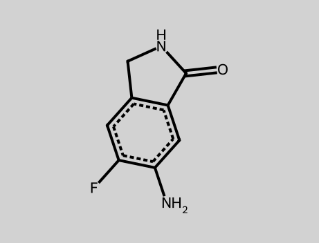 Nc1cc2c(cc1F)CNC2=O